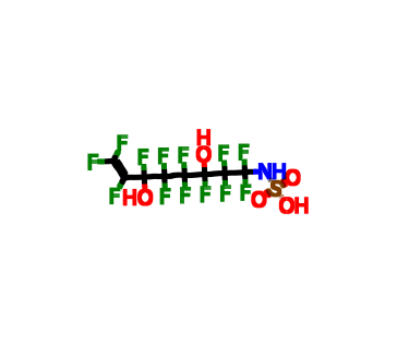 O=S(=O)(O)NC(F)(F)C(F)(F)C(O)(F)C(F)(F)C(F)(F)C(O)(F)C(F)=C(F)F